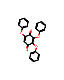 O=C1C=C(Oc2ccccc2)C(=O)C(Oc2ccccc2)=C1Oc1ccccc1